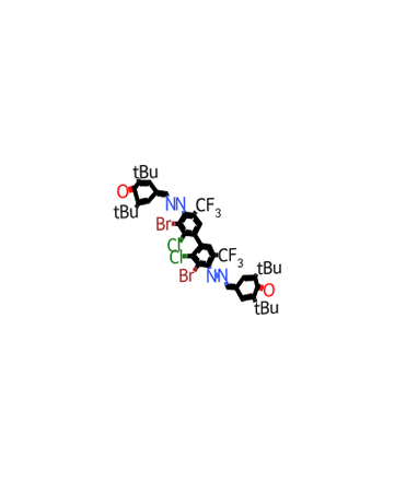 CC(C)(C)C1=CC(=C/N=N/c2c(C(F)(F)F)cc(-c3cc(C(F)(F)F)c(/N=N/C=C4C=C(C(C)(C)C)C(=O)C(C(C)(C)C)=C4)c(Br)c3Cl)c(Cl)c2Br)C=C(C(C)(C)C)C1=O